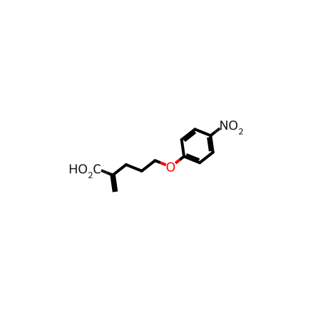 C=C(CCCOc1ccc([N+](=O)[O-])cc1)C(=O)O